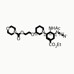 CCOC(=O)C1=C[C@@H](N2CCC[C@H](OCCOC(=O)N3CCOCC3)C2)[C@H](NC(C)=O)[C@@H](N=[N+]=[N-])C1